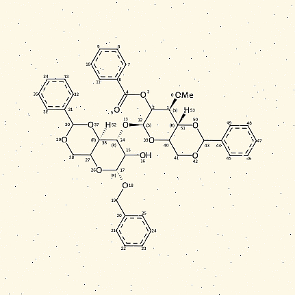 CO[C@@H]1C(OC(=O)c2ccccc2)[C@H](O[C@@H]2C(O)[C@H](OCc3ccccc3)OC3COC(c4ccccc4)O[C@H]32)OC2COC(c3ccccc3)O[C@H]21